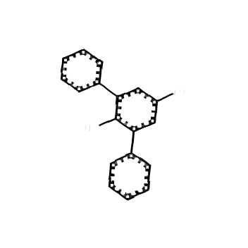 Oc1c(-c2ccccc2)cc(P)cc1-c1ccccc1